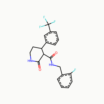 O=C1NCCC(c2cccc(C(F)(F)F)c2)C1C(=O)NCc1ccccc1F